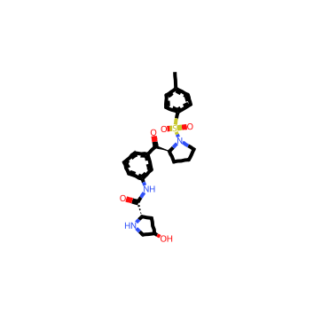 Cc1ccc(S(=O)(=O)N2CCC[C@H]2C(=O)c2[c]ccc(NC(=O)[C@@H]3CC(O)CN3)c2)cc1